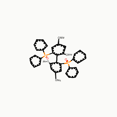 COc1cc(OC)c(-c2c(OC)cc(OC)cc2P(=O)(c2ccccc2)c2ccccc2)c(P(=O)(c2ccccc2)c2ccccc2)c1